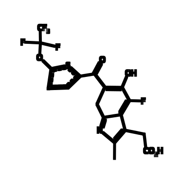 CC1=C(CC(=O)O)C2=C(F)C(O)=C(C(=O)c3ccc(OC(F)(F)C(F)(F)F)s3)CC2=N1